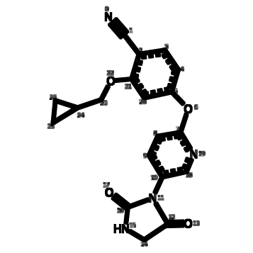 N#Cc1ccc(Oc2ccc(N3C(=O)CNC3=O)cn2)cc1OCC1CC1